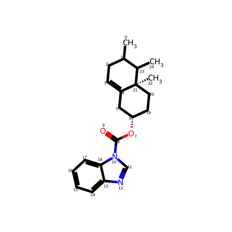 CC1CC=C2C[C@@H](OC(=O)n3cnc4ccccc43)CC[C@]2(C)C1C